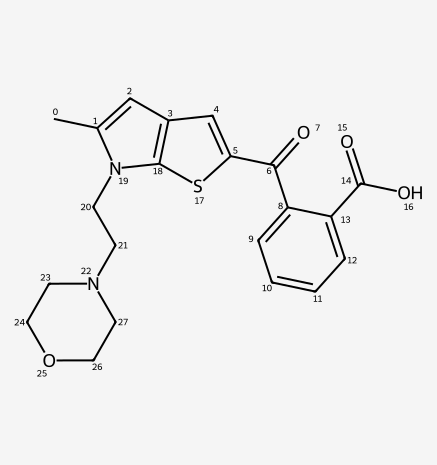 Cc1cc2cc(C(=O)c3ccccc3C(=O)O)sc2n1CCN1CCOCC1